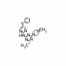 CCc1nc(Nc2ncc(Sc3ccccc3)cn2)nc(N2CCN(C)CC2)n1